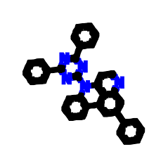 c1ccc(-c2cc3c4c(ccnc4c2)N(c2nc(-c4ccccc4)nc(-c4ccccc4)n2)c2ccccc2-3)cc1